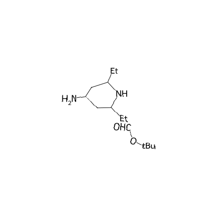 CC(C)(C)OC=O.CCC1CC(N)CC(CC)N1